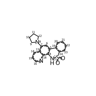 O=S1(=O)Nc2c(cc(N3CCCC3)c3cccnc23)-c2ccccc21